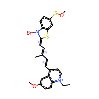 CC[n+]1ccc(/C=C/C(C)=C/C=C2\Sc3cc(SOC)ccc3N2Br)c2cc(OC)ccc21